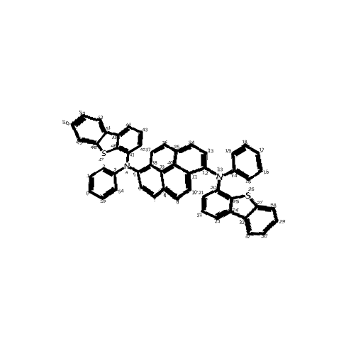 c1ccc(N(c2ccc3ccc4c(N(c5ccccc5)c5cccc6c5sc5ccccc56)ccc5ccc2c3c54)c2cccc3c2sc2ccccc23)cc1